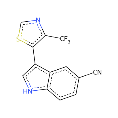 N#Cc1ccc2[nH]cc(-c3scnc3C(F)(F)F)c2c1